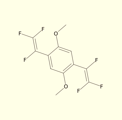 COc1cc(C(F)=C(F)F)c(OC)cc1C(F)=C(F)F